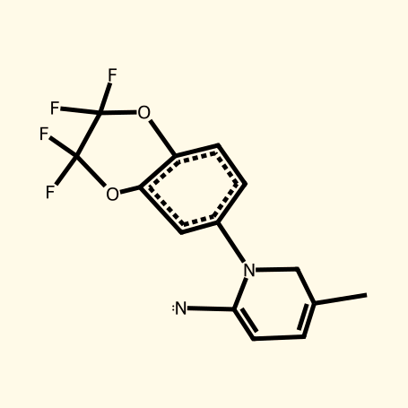 CC1=CC=C([N])N(c2ccc3c(c2)OC(F)(F)C(F)(F)O3)C1